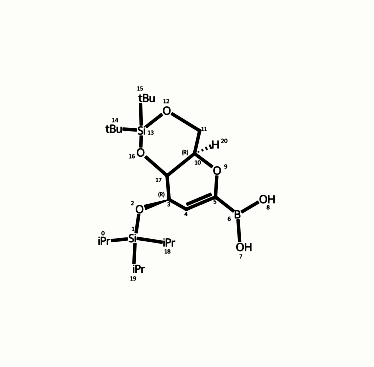 CC(C)[Si](O[C@@H]1C=C(B(O)O)O[C@@H]2CO[Si](C(C)(C)C)(C(C)(C)C)OC12)(C(C)C)C(C)C